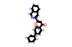 O=c1cc(-c2cc3ccccc3cn2)oc2cc(-c3ccccc3)ccc12